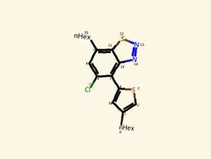 CCCCCCc1csc(-c2c(Cl)cc(CCCCCC)c3snnc23)c1